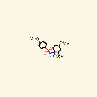 COc1ccc(S(=O)(=O)NC2(C(=O)O)CCC(OC)CC2C)cc1